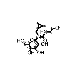 O=C(NCCCl)N(CC1CC1)C1O[C@H](CO)[C@H](O)[C@H](O)[C@H]1O